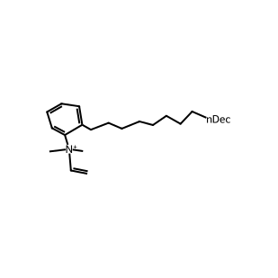 C=C[N+](C)(C)c1ccccc1CCCCCCCCCCCCCCCCCC